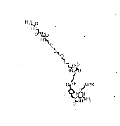 COCCOc1nc(N)c2[nH]c(=O)n(Cc3ccc(C(=O)NCCCCC(NC(=O)CCOCCOCCOCCOCCNC(=O)CNC(=O)CNC(=O)CN)C(N)=O)cc3)c2n1